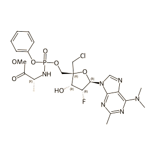 COC(=O)[C@@H](C)NP(=O)(OC[C@@]1(CCl)O[C@@H](n2cnc3c(N(C)C)nc(C)nc32)[C@H](F)[C@@H]1O)Oc1ccccc1